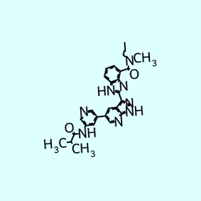 CC(C)C(=O)Nc1cncc(-c2cnc3[nH]nc(-c4nc5c(C(=O)N(C)CI)cccc5[nH]4)c3c2)c1